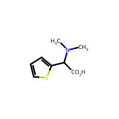 CN(C)C(C(=O)O)c1cccs1